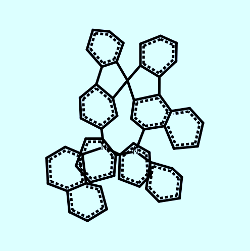 c1ccc(N(c2ccc3c(c2)C2(c4ccccc4-3)c3ccccc3-c3c2cc(N(c2ccccc2)c2ccccc2)c2ccccc32)c2cccc3ccccc23)cc1